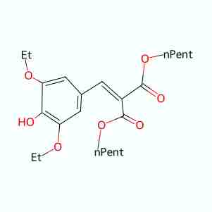 CCCCCOC(=O)C(=Cc1cc(OCC)c(O)c(OCC)c1)C(=O)OCCCCC